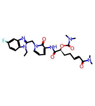 CCn1c(Cn2cccc(NC(=O)[C@H](CC/C=C/C(=O)N(C)C)OC(=O)N(C)C)c2=O)nc2cc(F)ccc21